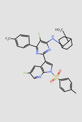 Cc1ccc(S(=O)(=O)n2cc(-c3nc(NC4C5CCC(CC5)C4C(=O)O)c(F)c(-c4ccc(C(F)(F)F)cc4)n3)c3cc(F)cnc32)cc1